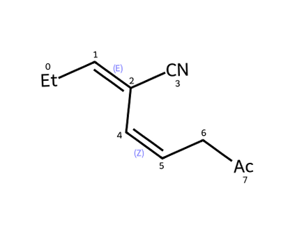 CC/C=C(C#N)\C=C/CC(C)=O